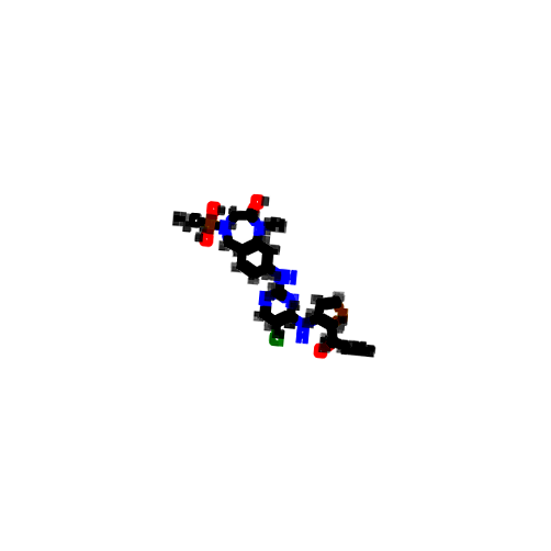 CCN1C(=O)CN(S(C)(=O)=O)Cc2ccc(Nc3ncc(Cl)c(Nc4ccsc4C(=O)NC)n3)cc21